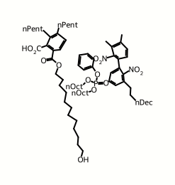 CCCCCCCCCCCCc1cccc(-c2ccc(C)c(C)c2[N+](=O)[O-])c1[N+](=O)[O-].CCCCCCCCOP(=O)(OCCCCCCCC)Oc1ccccc1.CCCCCc1ccc(C(=O)OCCCCCCCCCCCCO)c(C(=O)O)c1CCCCC